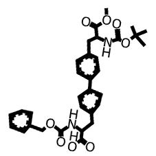 COC(=O)C(Cc1ccc(-c2ccc(CC(NC(=O)OCc3ccccc3)C(=O)O)cc2)cc1)NC(=O)OC(C)(C)C